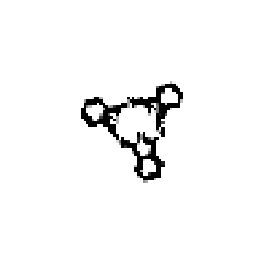 c1ccc2c(c1)-c1nc-2nc2[nH]c(nc3[nH]c(n1)c1ccccc31)c1ccccc21